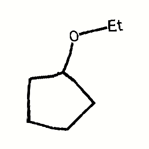 CCO[C]1CCCC1